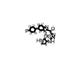 O=C(c1nnc(NC2CCNC2=O)o1)c1nc2ccc(-c3ccc(F)cc3)cc2s1